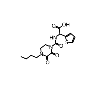 CCCCN1CCN(C(=O)NC(C(=O)O)c2cccs2)C(=O)C1=O